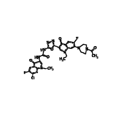 CCn1cc(NC(=O)Nc2nnc(-c3cn(CC)c4cc(N5CCN(C(C)=O)CC5)c(F)cc4c3=O)o2)c(=O)c2cc(F)c(Cl)cc21